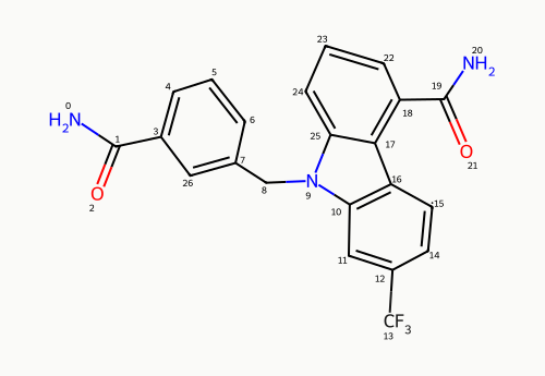 NC(=O)c1cccc(Cn2c3cc(C(F)(F)F)c[c]c3c3c(C(N)=O)cccc32)c1